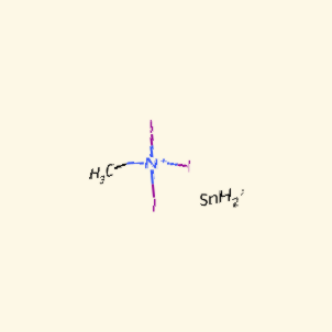 C[N+](I)(I)I.[SnH2]